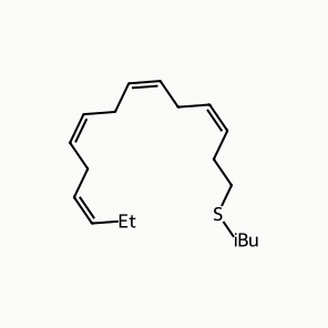 CC/C=C\C/C=C\C/C=C\C/C=C\CCSC(C)CC